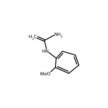 C=C(N)Nc1ccccc1OC